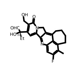 CC[C@@](O)(C=O)c1cc2n(c(=O)c1CO)Cc1c-2nc2cc(F)c(C)c3c2c1CCCC3